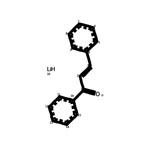 O=C(C=Cc1ccccc1)c1ccccc1.[LiH]